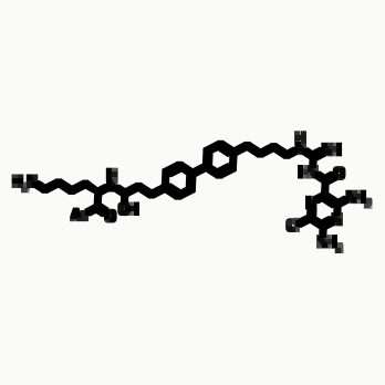 CC(=O)C(=O)[C@@H](CCCCN)NC(O)CCc1ccc(-c2ccc(CCCCNC(=N)NC(=O)c3nc(Cl)c(N)nc3N)cc2)cc1